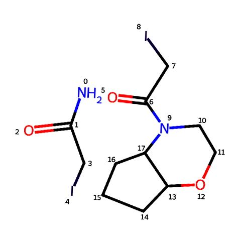 NC(=O)CI.O=C(CI)N1CCOC2CCCC21